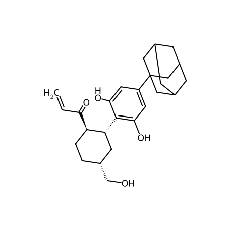 C=CC(=O)[C@@H]1CC[C@@H](CO)C[C@H]1c1c(O)cc(C23CC4CC(CC(C4)C2)C3)cc1O